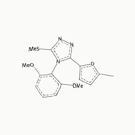 COc1cccc(OC)c1-n1c(SC)nnc1-c1ccc(C)o1